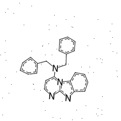 c1ccc(CN(Cc2ccccc2)c2ccnc3nc4ccccc4n23)cc1